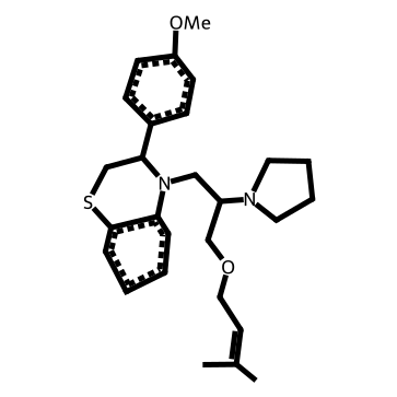 COc1ccc(C2CSc3ccccc3N2CC(COCC=C(C)C)N2CCCC2)cc1